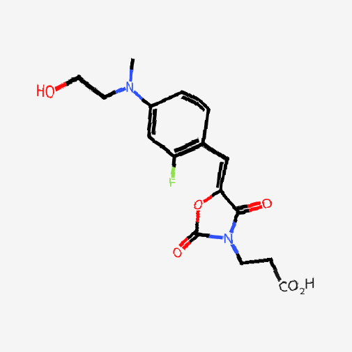 CN(CCO)c1ccc(/C=C2\OC(=O)N(CCC(=O)O)C2=O)c(F)c1